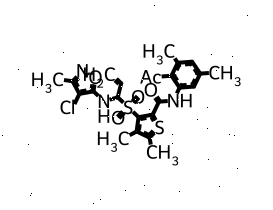 C=CC(Nc1onc(C)c1Cl)S(=O)(=O)c1c(C(=O)Nc2cc(C)cc(C)c2C(C)=O)sc(C)c1C